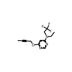 CC#CCOc1cc(N(CC)CC(F)(F)F)ncn1